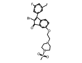 CS(=O)(=O)N1CCN(CCOc2ccc3c(c2)C(=O)C(Br)=C3c2cc(F)cc(F)c2)CC1